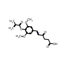 C=C(C)C(=O)Oc1c(OC)cc(/C=C/C(=O)CCC(=O)O)cc1OC